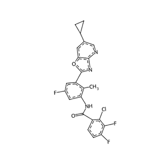 Cc1c(NC(=O)c2ccc(F)c(F)c2Cl)cc(F)cc1-c1nc2ncc(C3CC3)cc2o1